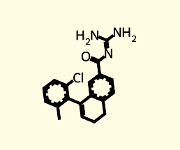 Cc1cccc(Cl)c1C1=CCCc2ccc(C(=O)N=C(N)N)cc21